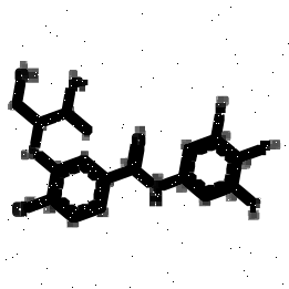 CC(C)C(C)C(CO)Sc1cc(C(=O)Nc2cc(F)c(F)c(F)c2)ccc1Cl